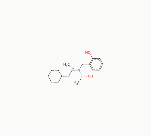 CB(O)N(Cc1ccccc1O)[C@@H](C)CC1CCCCC1